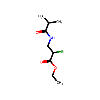 CCOC(=O)C(Br)CNC(=O)C(C)C